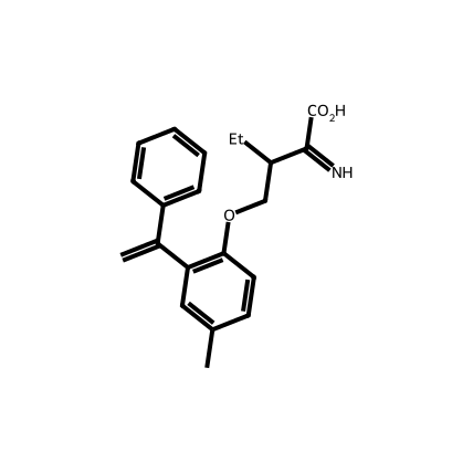 C=C(c1ccccc1)c1cc(C)ccc1OCC(CC)C(=N)C(=O)O